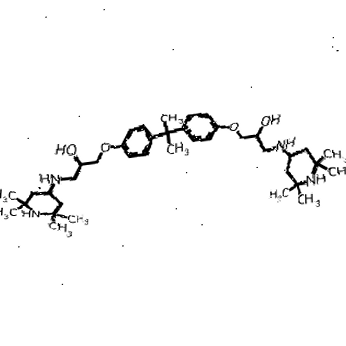 CC1(C)CC(NCC(O)COc2ccc(C(C)(C)c3ccc(OCC(O)CNC4CC(C)(C)NC(C)(C)C4)cc3)cc2)CC(C)(C)N1